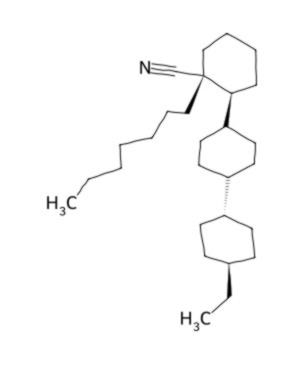 CCCCCCC[C@@]1(C#N)CCCC[C@H]1C1CCC([C@H]2CC[C@H](CC)CC2)CC1